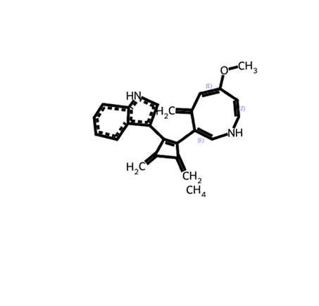 C.C=C1C(=C)C(c2c[nH]c3ccccc23)=C1/C1=C/N/C=C\C(OC)=C/C1=C